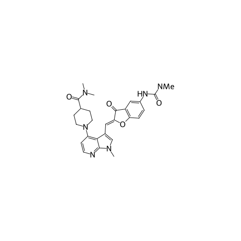 CNC(=O)Nc1ccc2c(c1)C(=O)/C(=C/c1cn(C)c3nccc(N4CCC(C(=O)N(C)C)CC4)c13)O2